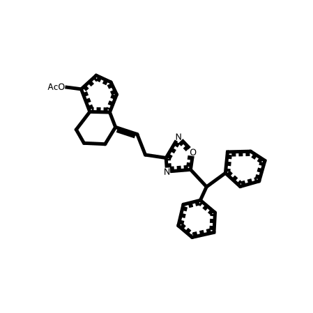 CC(=O)Oc1cccc2c1CCCC2=CCc1noc(C(c2ccccc2)c2ccccc2)n1